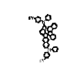 CC(C)c1ccc(N(c2ccccc2)c2ccc3cc4c(cc3c2)C2(c3ccccc3-c3c2ccc2ccccc32)c2c-4ccc3cc(N(c4ccccc4)c4ccc(C(C)C)cc4)ccc23)cc1